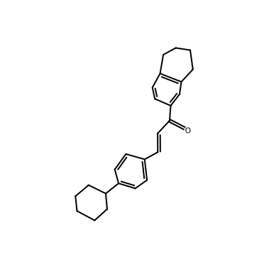 O=C(/C=C/c1ccc(C2CCCCC2)cc1)c1ccc2c(c1)CCCC2